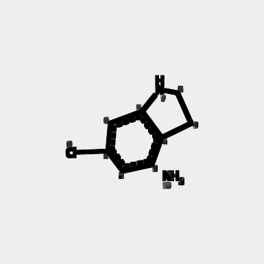 Clc1ccc2c(c1)NCC2.N